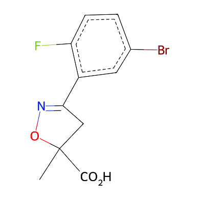 CC1(C(=O)O)CC(c2cc(Br)ccc2F)=NO1